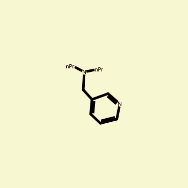 CCCN(CCC)Cc1[c]nccc1